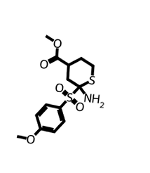 COC(=O)C1CCSC(N)(S(=O)(=O)c2ccc(OC)cc2)C1